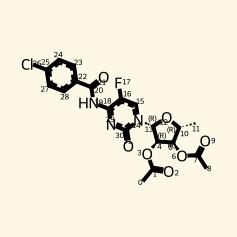 CC(=O)O[C@@H]1[C@H](OC(C)=O)[C@@H](C)O[C@H]1n1cc(F)c(NC(=O)c2ccc(Cl)cc2)nc1=O